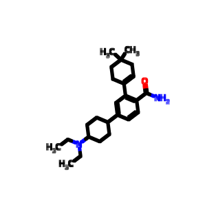 CCN(CC)C1CCC(c2ccc(C(N)=O)c(C3=CCC(C)(C)CC3)c2)CC1